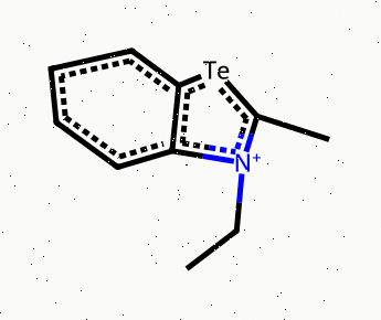 CC[n+]1c(C)[te]c2ccccc21